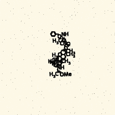 COC[C@@H](C)CN[C@]12CC[C@@H](C3(C)CC3)C1[C@@]1(N)CCC3C4(C)CC[C@H](OCC(=O)[C@H]5C[C@@H](C(=N)OCc6ccccc6)C5(C)C)C(C)(C)C4CC[C@@]3(C)[C@]1(C)CC2